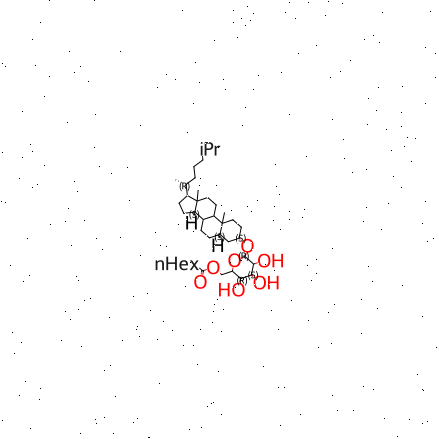 CCCCCCC(=O)OCC1O[C@@H](O[C@H]2CCC3(C)C4CCC5(C)C([C@H](C)CCCC(C)C)CC[C@H]5C4CC[C@H]3C2)C(O)[C@@H](O)[C@H]1O